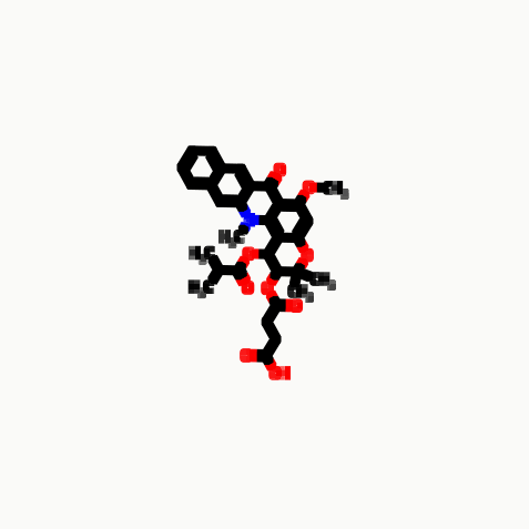 COc1cc2c(c3c1c(=O)c1cc4ccccc4cc1n3C)C(OC(=O)C(C)C)C(OC(=O)CCC(=O)O)C(C)(C)O2